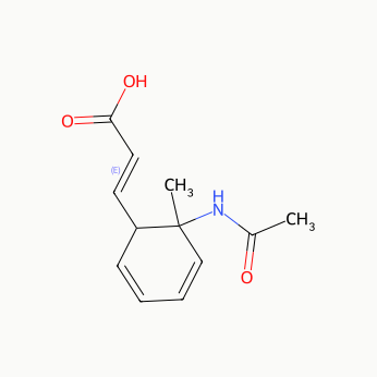 CC(=O)NC1(C)C=CC=CC1/C=C/C(=O)O